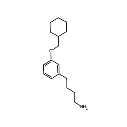 NCCCCc1cccc(OCC2CCCCC2)c1